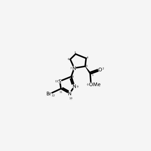 COC(=O)[C@@H]1CCCN1c1nnc(Br)s1